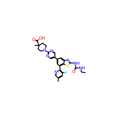 CCNC(=O)Nc1nc2cc(-c3cnc(N4CCC(C)(C(=O)O)CC4)nc3)cc(-c3ncc(C)cc3F)c2s1